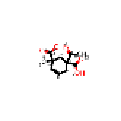 CC(=O)C1(C(=O)O)CC=CC(C)(C(=O)O)C1